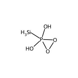 OP1(O)([SiH3])OO1